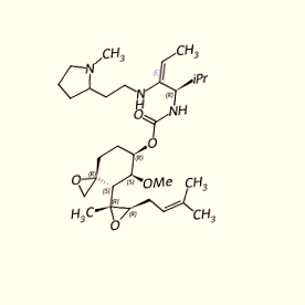 C/C=C(/NCCC1CCCN1C)[C@H](NC(=O)O[C@@H]1CC[C@]2(CO2)[C@@H]([C@@]2(C)O[C@@H]2CC=C(C)C)[C@@H]1OC)C(C)C